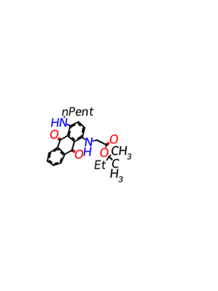 CCCCCNc1ccc(NCC(=O)OC(C)(C)CC)c2c1C(=O)c1ccccc1C2=O